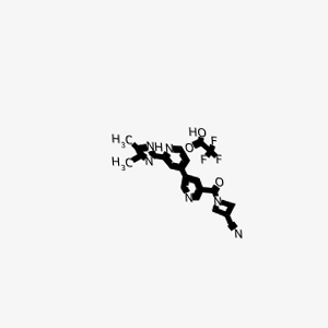 Cc1nc(-c2cc(-c3cncc(C(=O)N4CC(C#N)C4)c3)ccn2)[nH]c1C.O=C(O)C(F)(F)F